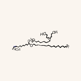 CCCCCCCC/C=C\CCCCCCCC(OCCCCCCCCCCCCCCC(C)C)O[Si](C)(C)OCCCCCCN(CCO)CCO